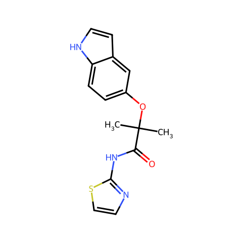 CC(C)(Oc1ccc2[nH]ccc2c1)C(=O)Nc1nccs1